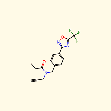 C#CCN(Cc1ccc(-c2noc(C(F)(F)F)n2)cc1)C(=O)CC